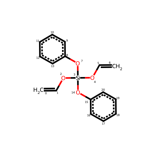 C=CO[Si](OC=C)(Oc1ccccc1)Oc1ccccc1